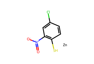 O=[N+]([O-])c1cc(Cl)ccc1S.[Zn]